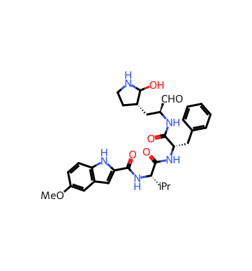 COc1ccc2[nH]c(C(=O)N[C@H](C(=O)N[C@@H](Cc3ccccc3)C(=O)N[C@H](C=O)C[C@@H]3CCNC3O)C(C)C)cc2c1